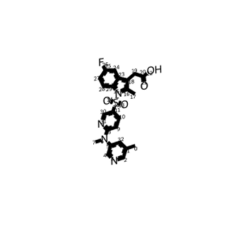 Cc1cncc(N(C)c2ccc(S(=O)(=O)n3c(C)c(CC(=O)O)c4cc(F)ccc43)cn2)c1